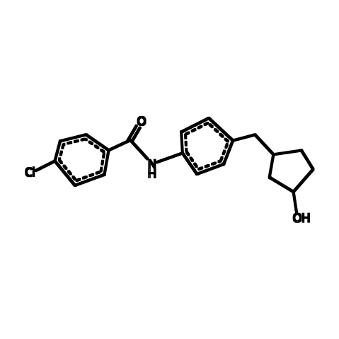 O=C(Nc1ccc(CC2CCC(O)C2)cc1)c1ccc(Cl)cc1